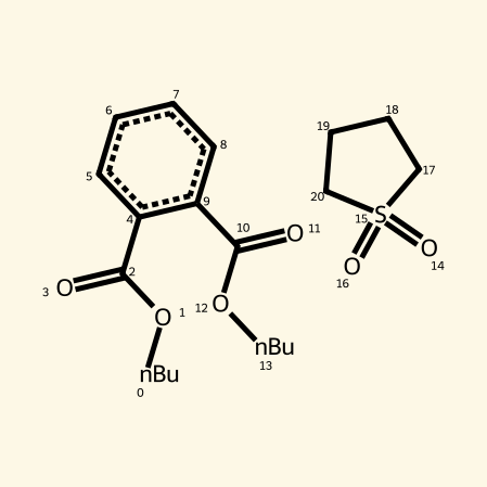 CCCCOC(=O)c1ccccc1C(=O)OCCCC.O=S1(=O)CCCC1